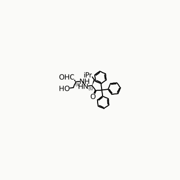 CC(C)C[C@H](NN[C@H](C=O)CO)C(=O)C(c1ccccc1)(c1ccccc1)c1ccccc1